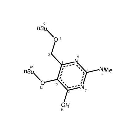 CCCCOCc1nc(NC)nc(O)c1OCCCC